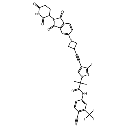 CC(C)(C(=O)Nc1ccc(C#N)c(C(F)(F)F)c1)n1cc(C#CC2CN(c3ccc4c(c3)C(=O)N(C3CCC(=O)NC3=O)C4=O)C2)c(F)n1